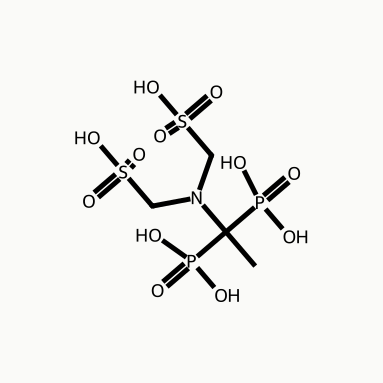 CC(N(CS(=O)(=O)O)CS(=O)(=O)O)(P(=O)(O)O)P(=O)(O)O